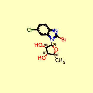 C[C@H]1O[C@@H](n2c(Br)nc3ccc(Cl)cc32)[C@H](O)[C@@H]1O